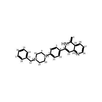 C=C1NC(c2ccc(N3CCN(Cc4ccccc4)CC3)cc2)=Cc2ncccc21